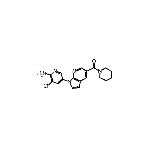 Nc1ncc(-n2ccc3cc(C(=O)N4CCCCC4)cnc32)cc1Cl